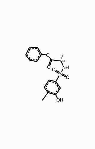 Cc1ccc(S(=O)(=O)N[C@@H](C)C(=O)Oc2ccccc2)cc1O